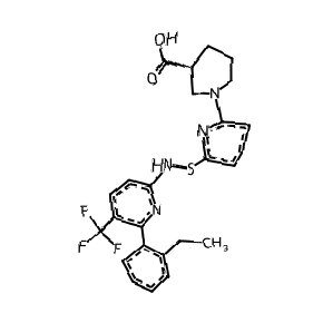 CCc1ccccc1-c1nc(NSc2cccc(N3CCC[C@H](C(=O)O)C3)n2)ccc1C(F)(F)F